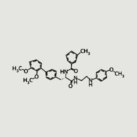 COc1ccc(NCCNC(=O)[C@H](Cc2ccc(-c3cccc(OC)c3OC)cc2)NC(=O)c2cccc(C)c2)cc1